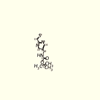 CC(C)(C)OC(=O)NCc1cnc(C=S)nc1